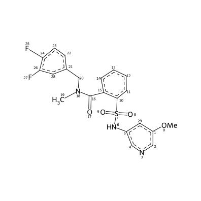 COc1cncc(NS(=O)(=O)c2ccccc2C(=O)N(C)Cc2ccc(F)c(F)c2)c1